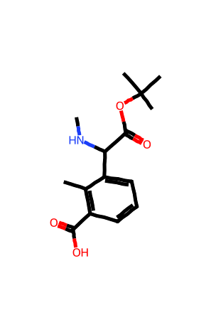 CNC(C(=O)OC(C)(C)C)c1cccc(C(=O)O)c1C